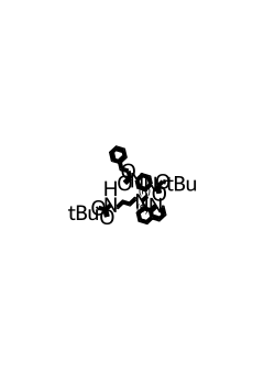 CC(C)(C)OC(=O)NCCCCN(C[C@@H]1CN(C(=O)OCc2ccccc2)CCN1C(=O)OC(C)(C)C)[C@H]1CCCc2cccnc21